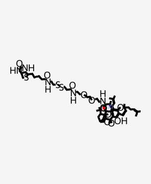 CC(C)=CCCC1(C)C=Cc2c(O)c3c(c(CC=C(C)C)c2O1)OC12C(=CC4CC1C(C)(C)OC2(C/C=C(/C)C(=O)NCCOCCOCCNC(=O)CCSSCCNC(=O)CCCCC1SCC2NC(=O)NC21)C4=O)C3=O